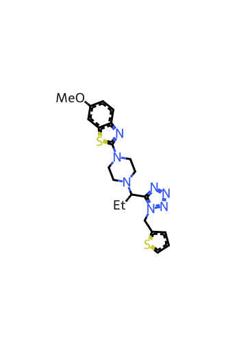 CCC(c1nnnn1Cc1cccs1)N1CCN(c2nc3ccc(OC)cc3s2)CC1